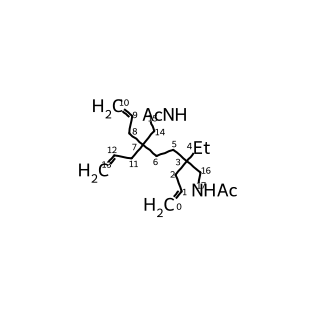 C=CCC(CC)(CCC(CC=C)(CC=C)CNC(C)=O)CNC(C)=O